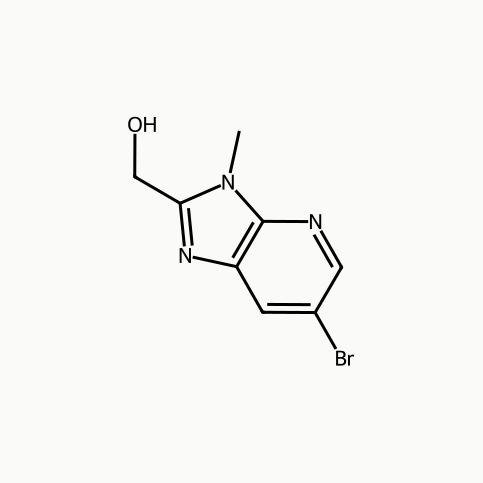 Cn1c(CO)nc2cc(Br)cnc21